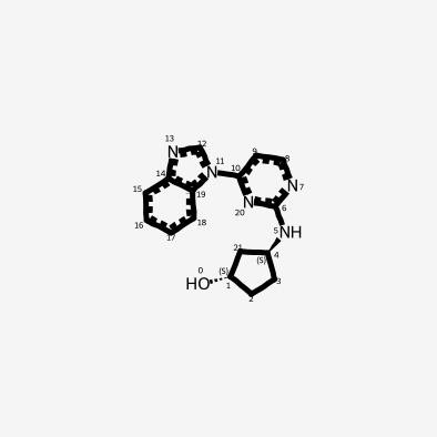 O[C@H]1CC[C@H](Nc2nccc(-n3cnc4ccccc43)n2)C1